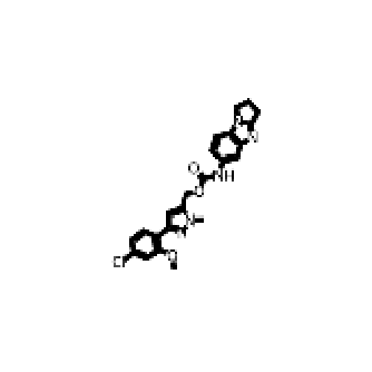 COc1cc(Cl)ccc1-c1cc(COC(=O)Nc2ccc3c(c2)nc2n3CCC2)n(C)n1